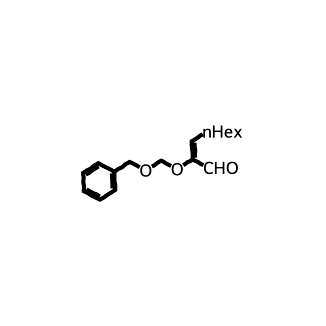 CCCCCCC=C(C=O)OCOCc1ccccc1